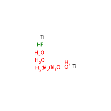 F.O.O.O.O.O.O.[Ti].[Ti]